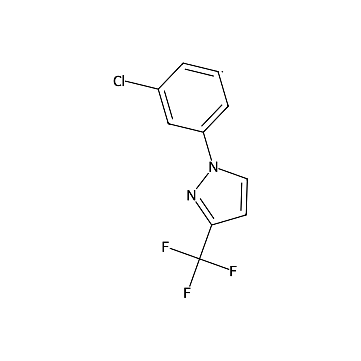 FC(F)(F)c1ccn(-c2c[c]cc(Cl)c2)n1